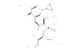 COc1c(C2(O)CCN(O)C/C(=C(/F)CN)C2)c(F)cc2c(=O)c(C(=O)O)cn(C3CC3)c12